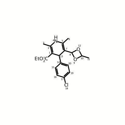 CCOC(=O)C1=C(C)NC(C)=C(C2OC(C)O2)C1c1ccc(Cl)cc1